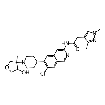 Cc1nn(C)cc1CC(=O)Nc1cc2cc(C3CCN(C4(C)COCC4O)CC3)c(Cl)cc2cn1